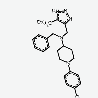 CCOC(=O)c1[nH]nnc1CN(Cc1ccccc1)C1CCN(c2ccc(Cl)cc2)CC1